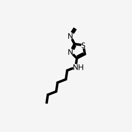 C=Nc1nc(NCCCCCC)cs1